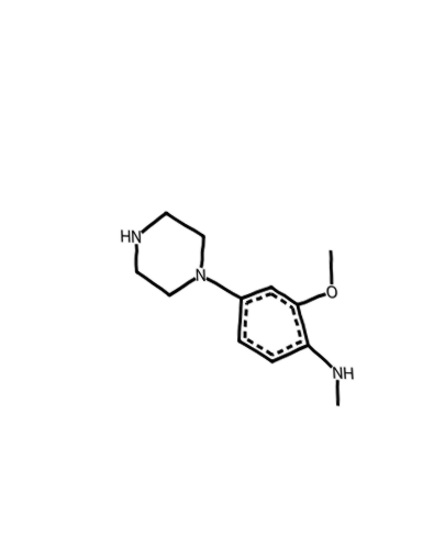 CNc1ccc(N2CCNCC2)cc1OC